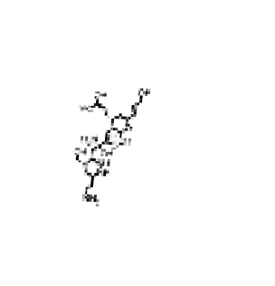 NC/C=C1\C[C@H](CO)[C@H](C[C@](N)(O)/C(O)=C/[C@@H]2C(O)OC(/C=C/CO)=C[C@H]2CC=C(O)O)NN1